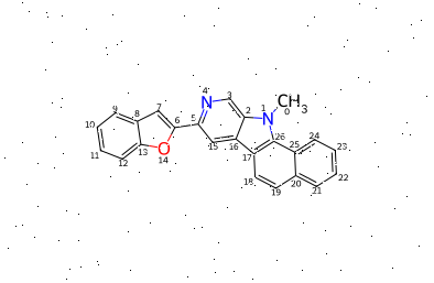 Cn1c2cnc(-c3cc4ccccc4o3)cc2c2ccc3ccccc3c21